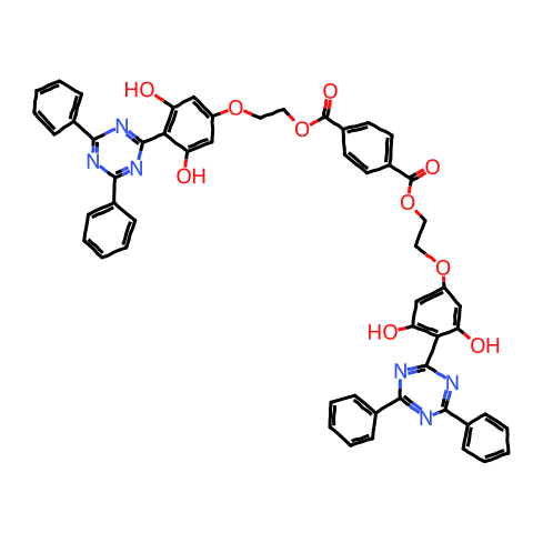 O=C(OCCOc1cc(O)c(-c2nc(-c3ccccc3)nc(-c3ccccc3)n2)c(O)c1)c1ccc(C(=O)OCCOc2cc(O)c(-c3nc(-c4ccccc4)nc(-c4ccccc4)n3)c(O)c2)cc1